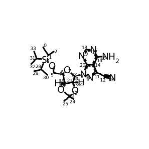 CC(C)[Si](OC[C@H]1O[C@@H](n2nc(C#N)c3c(N)ncnc32)[C@@H]2OC(C)(C)O[C@@H]21)(C(C)C)C(C)C